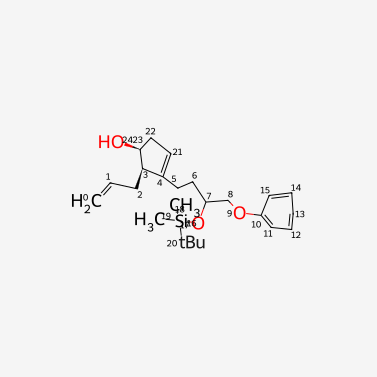 C=CC[C@@H]1C(CCC(COc2ccccc2)O[Si](C)(C)C(C)(C)C)=CC[C@@H]1O